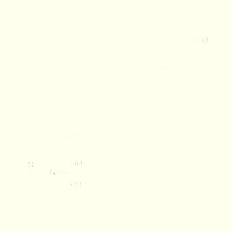 CCCCCCCCCCCCCCCCCC1=NCCN1C(C)O